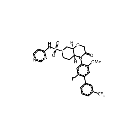 COc1cc(-c2cccc(C(F)(F)F)c2)c(F)cc1N1C(=O)CO[C@@H]2CN(S(=O)(=O)Nc3ccncn3)CC[C@H]21